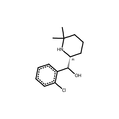 CC1(C)CCC[C@H](C(O)c2ccccc2Cl)N1